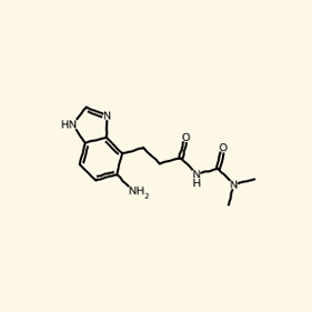 CN(C)C(=O)NC(=O)CCc1c(N)ccc2[nH]cnc12